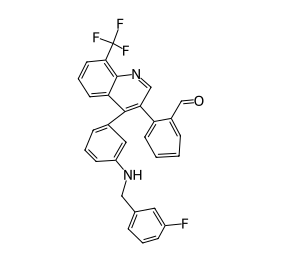 O=Cc1ccccc1-c1cnc2c(C(F)(F)F)cccc2c1-c1cccc(NCc2cccc(F)c2)c1